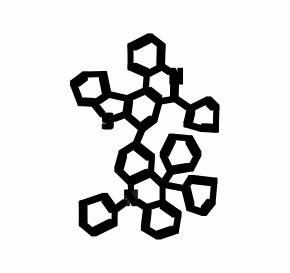 c1ccc(-c2nc3ccccc3c3c2cc(-c2ccc4c(c2)C(c2ccccc2)(c2ccccc2)c2ccccc2N4c2ccccc2)c2sc4ccccc4c23)cc1